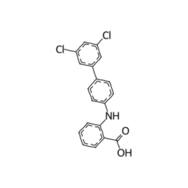 O=C(O)c1ccccc1Nc1ccc(-c2cc(Cl)cc(Cl)c2)cc1